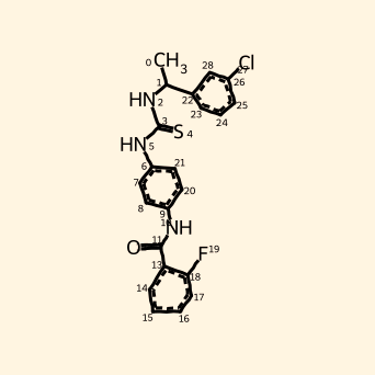 CC(NC(=S)Nc1ccc(NC(=O)c2ccccc2F)cc1)c1cccc(Cl)c1